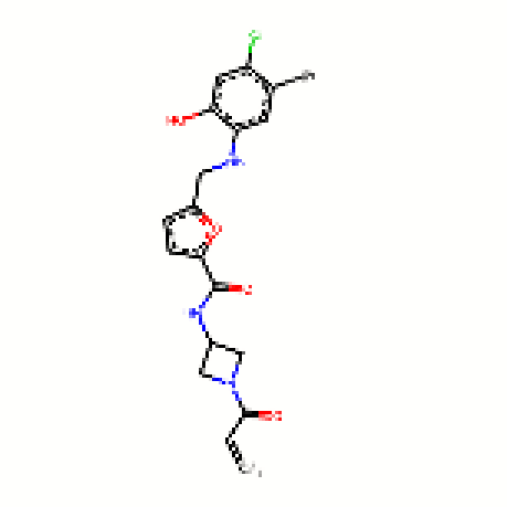 C=CC(=O)N1CC(NC(=O)c2ccc(CNc3cc(C(C)C)c(Cl)cc3O)o2)C1